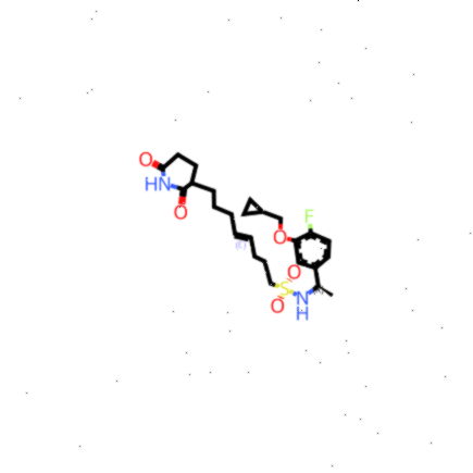 C[C@@H](NS(=O)(=O)CCC/C=C/CCCC1CCC(=O)NC1=O)c1ccc(F)c(OCC2CC2)c1